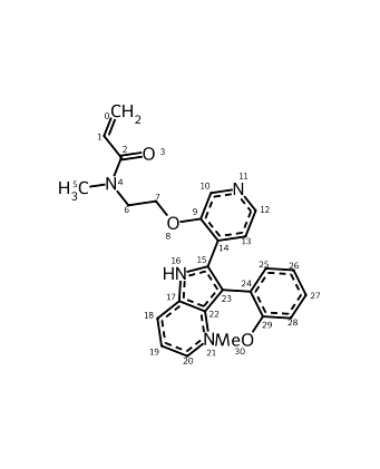 C=CC(=O)N(C)CCOc1cnccc1-c1[nH]c2cccnc2c1-c1ccccc1OC